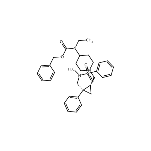 CCN(C(=O)OCc1ccccc1)C1CCN(C[C@H]2C[C@@]2(CN(C)S(=O)(=O)c2ccccc2)c2ccccc2)CC1